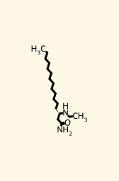 CCCCCCCCCCCCC[C@@H](CC(N)=O)NCC